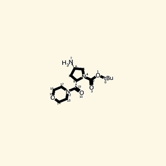 CC(C)(C)OC(=O)N1C[C@@H](N)C[C@H]1C(=O)N1CCOCC1